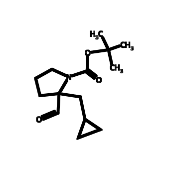 CC(C)(C)OC(=O)N1CCCC1(C=O)CC1CC1